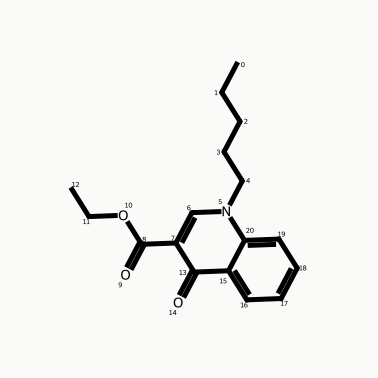 CCCCCn1cc(C(=O)OCC)c(=O)c2ccccc21